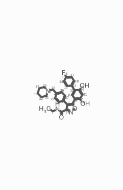 CCNC(=O)c1noc(-c2cc(-c3ccc(F)cc3)c(O)cc2O)c1-c1ccc(CN2CCCCC2)cc1